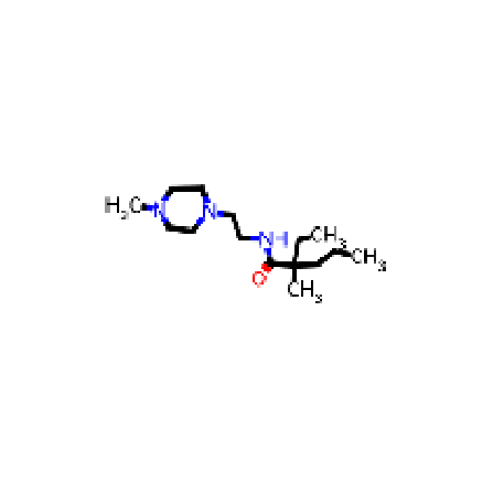 CCCC(C)(CC)C(=O)NCCN1CCN(C)CC1